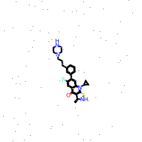 C=C1NSc2c1c(=O)c1cc(F)c(-c3cccc(CCCN4CCNCC4)c3)cc1n2C1CC1